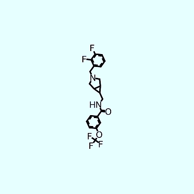 O=C(NCC1C2CN(Cc3cccc(F)c3F)CC12)c1cccc(OC(F)(F)F)c1